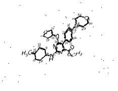 COC(=O)c1nc(NC2CCC(C)CC2)nc(OC2CCOC2)c1-c1ccc(N2CCOCC2)cc1